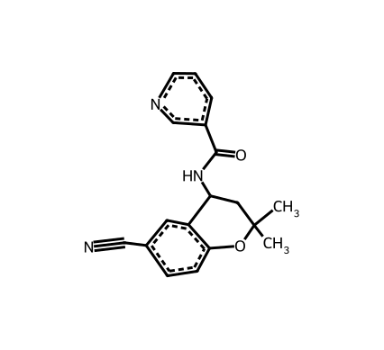 CC1(C)CC(NC(=O)c2cccnc2)c2cc(C#N)ccc2O1